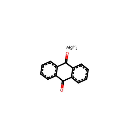 O=C1c2ccccc2C(=O)c2ccccc21.[MgH2]